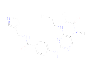 CC(C)CCN1c2nc(Nc3ccc(C(=O)NCc4cncs4)cc3)ncc2N(C)C(=O)C1C